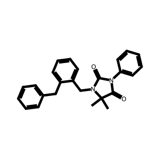 CC1(C)C(=O)N(c2ccccc2)C(=O)N1Cc1ccccc1Cc1ccccc1